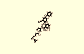 CN(CC=CC(=O)N1CCC(Nc2n[nH]c3nccc(Oc4ccc(Oc5ccccc5)cc4C#N)c23)C1)C1CC1